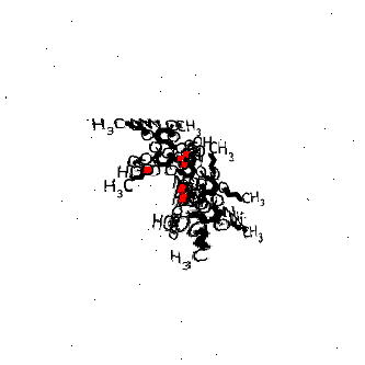 CCCCOC1[C@H](O[C@H]2OC(COS(=O)(=O)O)[C@@H](OCCCC)[C@H](OCCCC)C2N=[N+]=[N-])C(C(=O)O)O[C@@H](O[C@@H]2C(COS(=O)(=O)O)O[C@@H](O[C@H]3C(C(=O)O)O[C@@H](O[C@@H]4C(COS(=O)(=O)O)O[C@H](OC)C(N=[N+]=[N-])[C@H]4OCCCC)[C@@H](OS(=O)(=O)O)C3OCCCC)C(N=[N+]=[N-])[C@H]2OS(=O)(=O)O)[C@H]1OCCCC